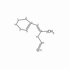 CC(=CC1=CCCCC1)CC=O